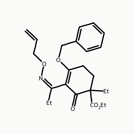 C=CCO/N=C(/CC)C1=C(OCc2ccccc2)CCC(CC)(C(=O)OCC)C1=O